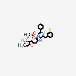 CCc1oc(Cc2nc3c(Cc4cccc(F)c4F)nc(-c4ccccc4)cn3c2OC(C)=O)cc1C